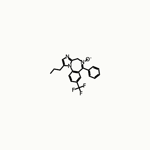 CCCc1cnc2n1-c1ccc(C(F)(F)F)cc1C(c1ccccc1)=[N+]([O-])C2